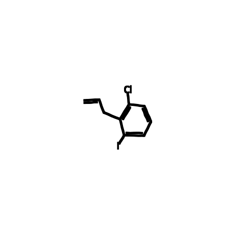 C=CCc1c(Cl)cccc1I